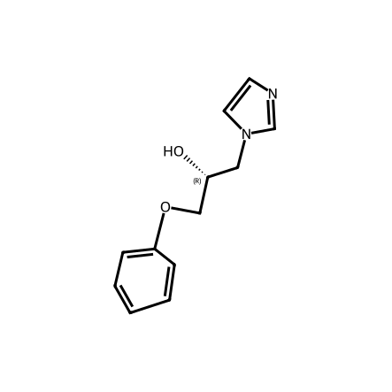 O[C@@H](COc1ccccc1)Cn1ccnc1